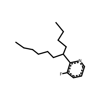 CCCCCCC(CCCC)c1ncccc1F